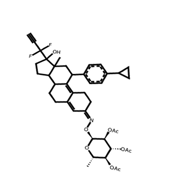 C#CC(F)(F)C1(O)CCC2C3CCC4=C/C(=N\O[C@@H]5O[C@@H](C)[C@H](OC(C)=O)[C@@H](OC(C)=O)[C@@H]5OC(C)=O)CCC4=C3C(c3ccc(C4CC4)cc3)CC21C